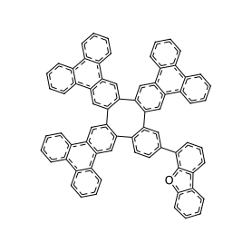 c1ccc2c(c1)oc1c(-c3ccc4c(c3)-c3cc5c6ccccc6c6ccccc6c5cc3-c3cc5c6ccccc6c6ccccc6c5cc3-c3cc5c6ccccc6c6ccccc6c5cc3-4)cccc12